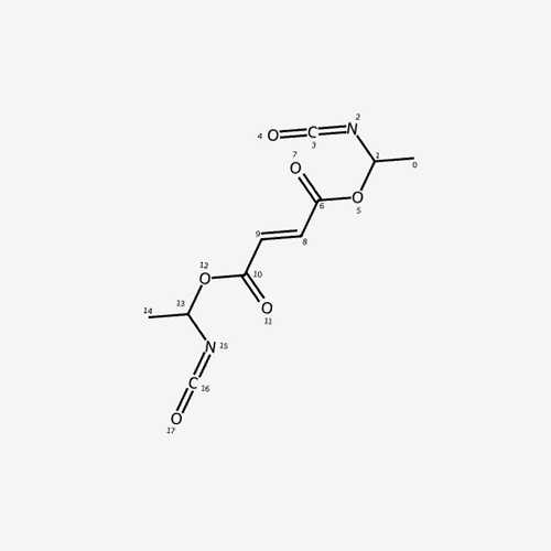 CC(N=C=O)OC(=O)C=CC(=O)OC(C)N=C=O